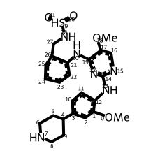 COc1cc(C2CCNCC2)ccc1Nc1ncc(OC)c(Nc2ccccc2CN[SH](=O)=O)n1